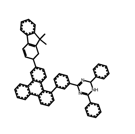 CC1(C)C2=C(C=CC(c3ccc4c(c3)c3ccccc3c3cccc(-c5cccc(C6=NC(c7ccccc7)NC(c7ccccc7)=N6)c5)c34)C2)c2ccccc21